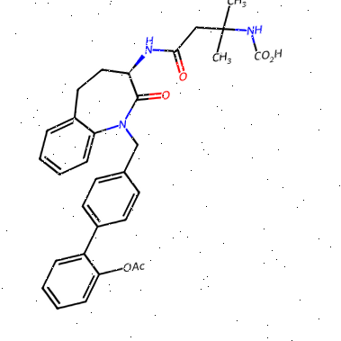 CC(=O)Oc1ccccc1-c1ccc(CN2C(=O)[C@H](NC(=O)CC(C)(C)NC(=O)O)CCc3ccccc32)cc1